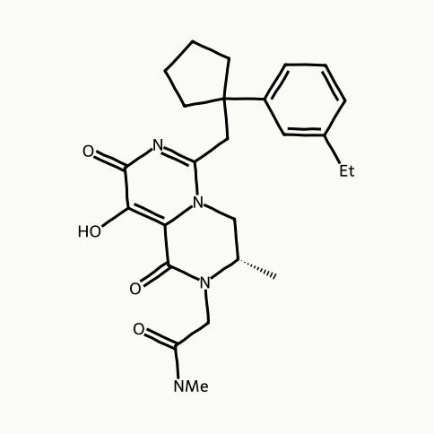 CCc1cccc(C2(Cc3nc(=O)c(O)c4n3C[C@H](C)N(CC(=O)NC)C4=O)CCCC2)c1